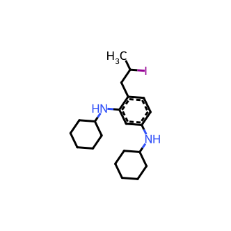 CC(I)Cc1ccc(NC2CCCCC2)cc1NC1CCCCC1